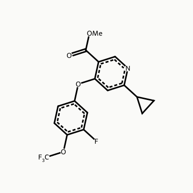 COC(=O)c1cnc(C2CC2)cc1Oc1ccc(OC(F)(F)F)c(F)c1